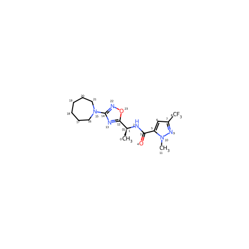 C[C@H](NC(=O)c1cc(C(F)(F)F)nn1C)c1nc(N2CCCCCC2)no1